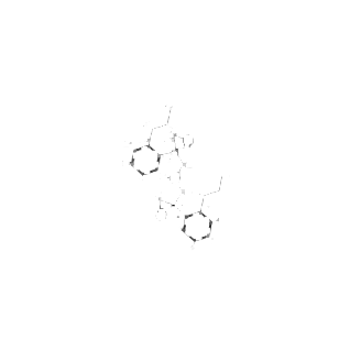 CCCc1ccccc1C1(COCC2(c3ccccc3CCC)CO2)CO1